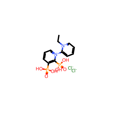 CC[n+]1ccccc1-[n+]1cccc(P(=O)(O)O)c1P(=O)(O)O.[Cl-].[Cl-]